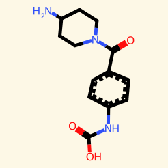 NC1CCN(C(=O)c2ccc(NC(=O)O)cc2)CC1